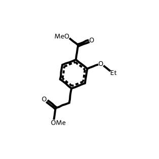 CCOc1cc(CC(=O)OC)ccc1C(=O)OC